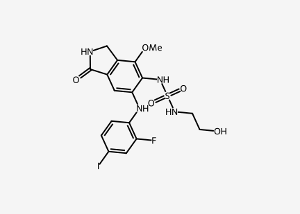 COc1c2c(cc(Nc3ccc(I)cc3F)c1NS(=O)(=O)NCCO)C(=O)NC2